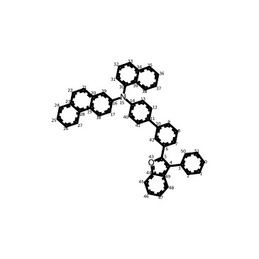 c1ccc(-c2c(-c3cccc(-c4ccc(N(c5ccc6c(ccc7ccccc76)c5)c5cccc6ccccc56)cc4)c3)oc3ccccc23)cc1